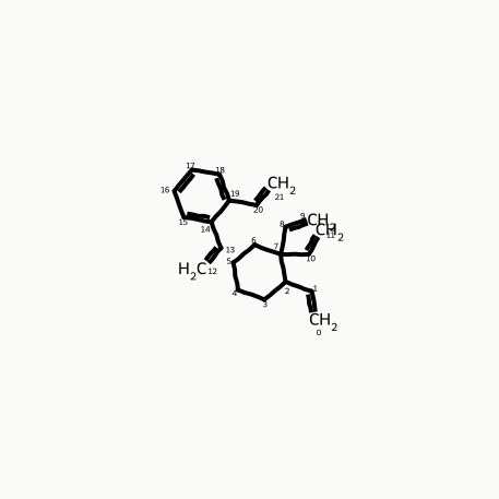 C=CC1CCCCC1(C=C)C=C.C=Cc1ccccc1C=C